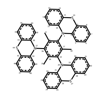 Cc1c(N2c3ccccc3Sc3ccccc32)c(C)c(N2c3ccccc3Sc3ccccc32)c(C)c1N1c2ccccc2Sc2ccccc21